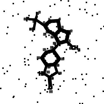 Cc1nc2ccc(C(F)(F)F)nc2n1-c1ccc2c(c1)CC(=O)N2